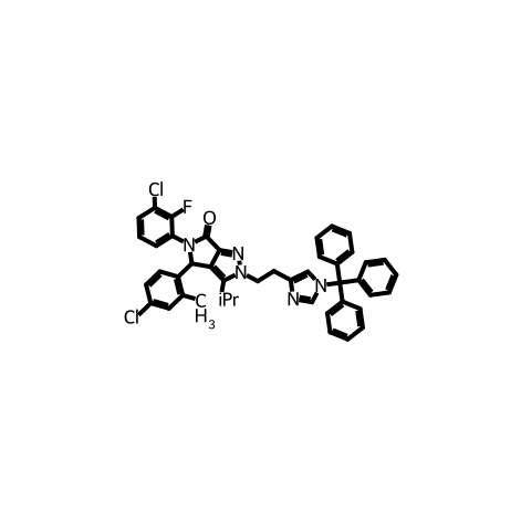 Cc1cc(Cl)ccc1C1c2c(nn(CCc3cn(C(c4ccccc4)(c4ccccc4)c4ccccc4)cn3)c2C(C)C)C(=O)N1c1cccc(Cl)c1F